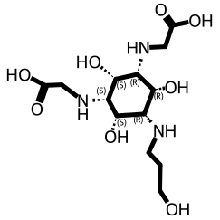 O=C(O)CN[C@@H]1[C@H](O)[C@H](NCC(=O)O)[C@H](O)[C@H](NCCCO)[C@@H]1O